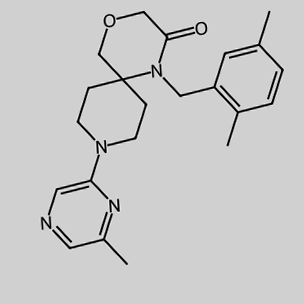 Cc1ccc(C)c(CN2C(=O)COCC23CCN(c2cncc(C)n2)CC3)c1